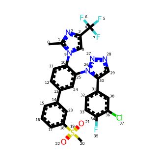 Cc1nc(C(F)(F)F)cn1-c1ccc(-c2cccc(S(C)(=O)=O)c2)cc1-n1nncc1-c1ccc(F)c(Cl)c1